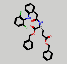 O=C(Cc1ccccc1Nc1c(Cl)cccc1Cl)N[C@H](CCC(=O)OCc1ccccc1)C(=O)OCc1ccccc1